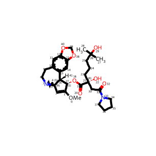 COC1=C[C@]23CCCN2CCc2cc4c(cc2[C@@H]3[C@@H]1OC(=O)[C@@](O)(CCCC(C)(C)O)CC(=O)N1CCCC1)OCO4